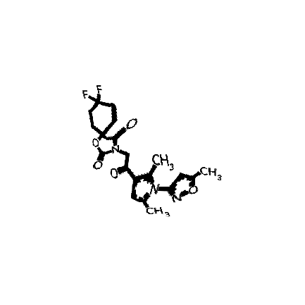 Cc1cc(-n2c(C)cc(C(=O)CN3C(=O)OC4(CCC(F)(F)CC4)C3=O)c2C)no1